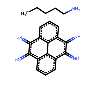 CCCCCN.N=c1c(=N)c2cccc3c2-c2c1cccc2c(=N)c3=N